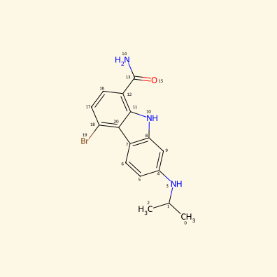 CC(C)Nc1ccc2c(c1)[nH]c1c(C(N)=O)ccc(Br)c12